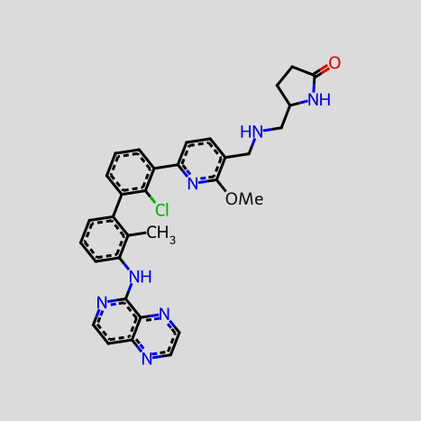 COc1nc(-c2cccc(-c3cccc(Nc4nccc5nccnc45)c3C)c2Cl)ccc1CNCC1CCC(=O)N1